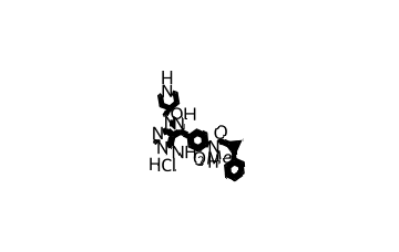 COc1cc(-c2nn(CC3(O)CCNCC3)c3ncnc(N)c23)ccc1NC(=O)C1CC1c1ccccc1.Cl